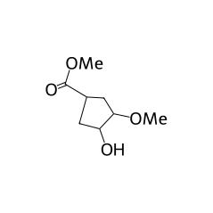 COC(=O)C1CC(O)C(OC)C1